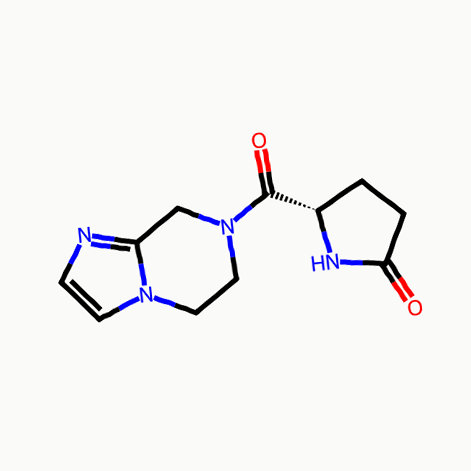 O=C1CC[C@@H](C(=O)N2CCn3ccnc3C2)N1